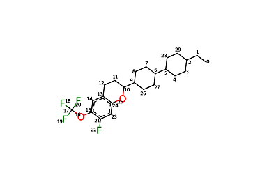 CCC1CCC(C2CCC(C3CCc4cc(OC(F)(F)F)c(F)cc4O3)CC2)CC1